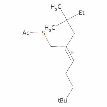 CCC(C)(C)C/C(=C/CCC(C)(C)C)CSC(C)=O